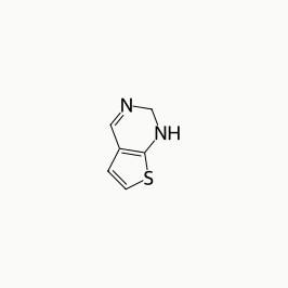 C1=NCNc2sccc21